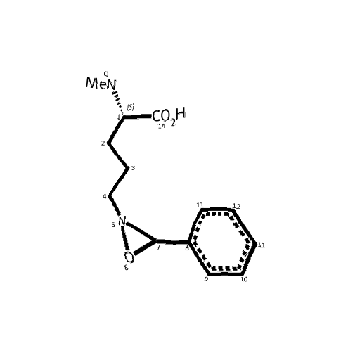 CN[C@@H](CCCN1OC1c1ccccc1)C(=O)O